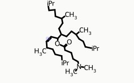 CC(C)CCCC(C)/C=C\C(OC(=O)CCCCN(C)C)C(CCC(C)CCCC(C)C)CCC(C)CCCC(C)C